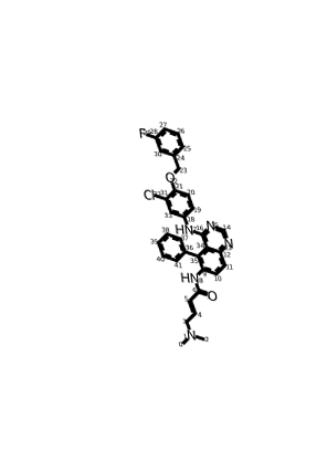 CN(C)C/C=C/C(=O)Nc1ccc2ncnc(Nc3ccc(OCc4cccc(F)c4)c(Cl)c3)c2c1-c1ccccc1